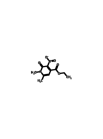 CCOC(=O)c1cc(C)n(C)c(=O)c1[N+](=O)[O-]